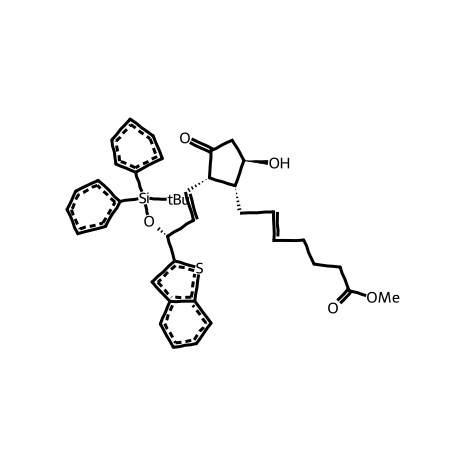 COC(=O)CCCC=CC[C@H]1[C@H](O)CC(=O)[C@H]1C=C[C@@H](O[Si](c1ccccc1)(c1ccccc1)C(C)(C)C)c1cc2ccccc2s1